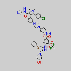 Cc1c(C(=O)NC2CN(C)C2)c(-c2cccc(N3CCN(c4ccc(NS(=O)(=O)c5ccc(NC(CCN6CCC(O)CC6)CSc6ccccc6)c(S(=O)(=O)C(F)(F)F)c5)cc4)CC3)c2)c(-c2ccc(Cl)cc2)n1C